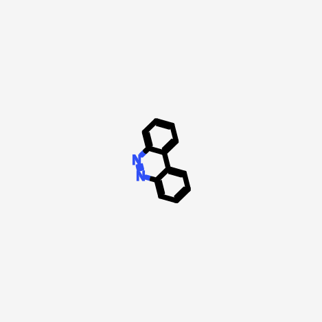 c1ccc2c(c1)nnc1ccccc12